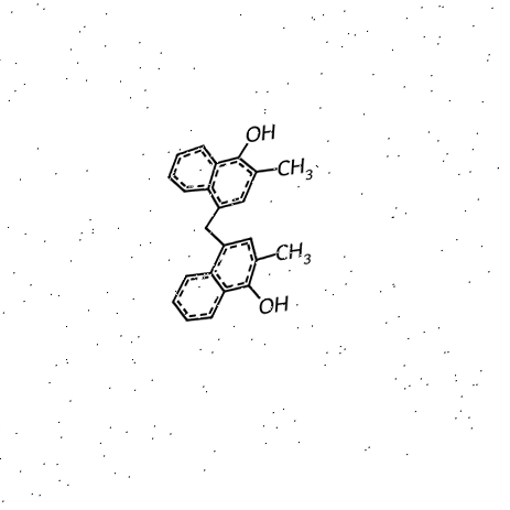 Cc1cc(Cc2cc(C)c(O)c3ccccc23)c2ccccc2c1O